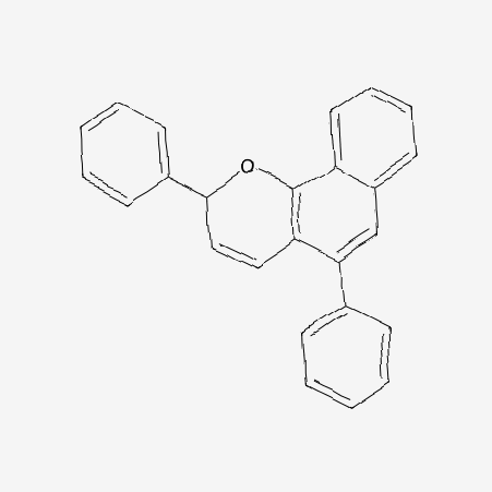 C1=CC(c2ccccc2)Oc2c1c(-c1ccccc1)cc1ccccc21